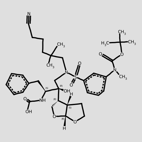 CN(C(=O)OC(C)(C)C)c1cccc(S(=O)(=O)N(CC(C)(C)CCCC#N)C[C@@](O)([C@H](Cc2ccccc2)NC(=O)O)[C@H]2CO[C@H]3OCC[C@H]32)c1